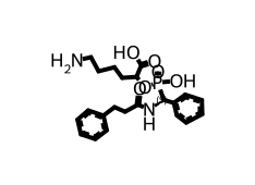 NCCCCC(OP(=O)(O)[C@H](NC(=O)CCc1ccccc1)c1ccccc1)C(=O)O